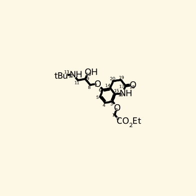 CCOC(=O)COc1ccc(OCC(O)CNC(C)(C)C)c2c1NC(=O)CC2